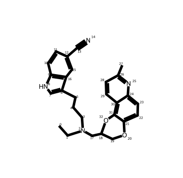 CCN(CCCc1c[nH]c2ccc(C#N)cc12)CC1COc2ccc3nc(C)ccc3c2O1